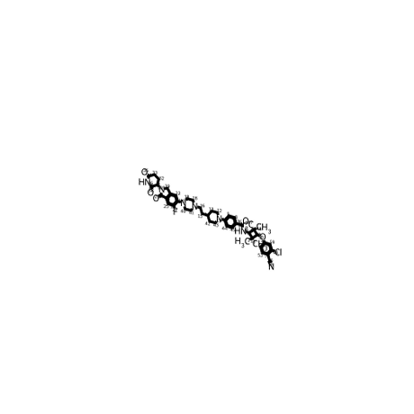 CC1(C)C(NC(=O)c2ccc(N3CCC(CCN4CCN(c5cc6c(cc5F)C(=O)N(C5CCC(=O)NC5=O)C6)CC4)CC3)cc2)C(C)(C)C1Oc1ccc(C#N)c(Cl)c1